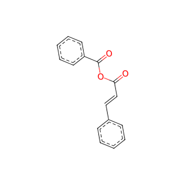 O=C(/C=C/c1ccccc1)OC(=O)c1ccccc1